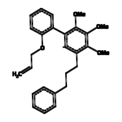 C=CCOc1ccccc1-c1[c]c(CCCc2ccccc2)c(OC)c(OC)c1OC